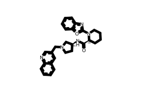 O=C(N[C@H]1CCN(Cc2cnc3ccccc3c2)C1)[C@@H]1CCCCN1c1nc2ccccc2o1